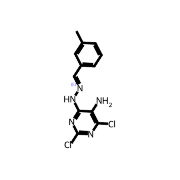 Cc1cccc(/C=N/Nc2nc(Cl)nc(Cl)c2N)c1